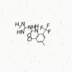 Cc1cc(Cl)c(NC(=O)NC(=N)N)c(C(F)(F)F)c1